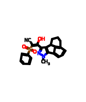 Cn1nc(/C(O)=C(/C#N)S(=O)(=O)c2ccccc2)c2c1-c1cccc3c1C2CCC3